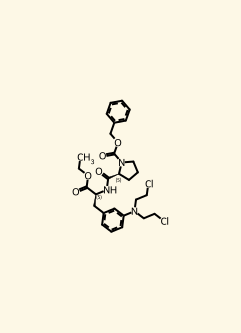 CCOC(=O)[C@H](Cc1cccc(N(CCCl)CCCl)c1)NC(=O)[C@@H]1CCCN1C(=O)OCc1ccccc1